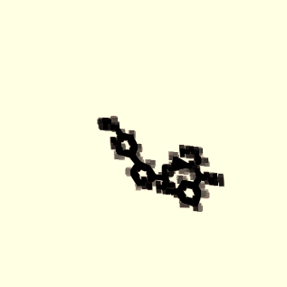 CC(C)(C)c1ccc(-c2ccnc(C(=O)Nc3cccc(C(=N)N(C=N)C4CC4)c3)c2)cn1